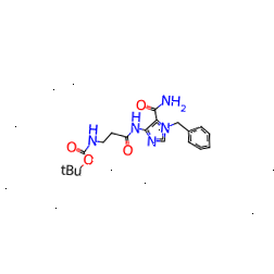 CC(C)(C)OC(=O)NCCC(=O)Nc1ncn(Cc2ccccc2)c1C(N)=O